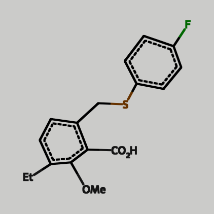 CCc1ccc(CSc2ccc(F)cc2)c(C(=O)O)c1OC